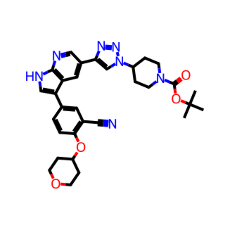 CC(C)(C)OC(=O)N1CCC(n2cc(-c3cnc4[nH]cc(-c5ccc(OC6CCOCC6)c(C#N)c5)c4c3)nn2)CC1